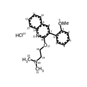 COc1ccccc1-c1cc2ccccc2nc1OCCN(C)C.Cl